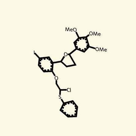 COc1cc(C2CCC(c3cc(I)ccc3OCC(Cl)Sc3ccccc3)O2)cc(OC)c1OC